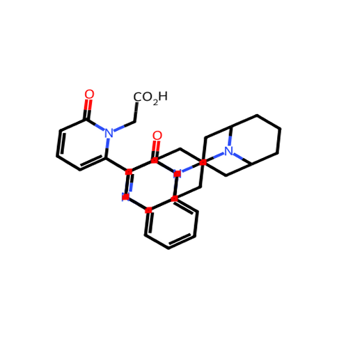 O=C(O)Cn1c(-c2nc3ccccc3n(C3CC4CCCC(C3)N4C3CC4CCCC(C4)C3)c2=O)cccc1=O